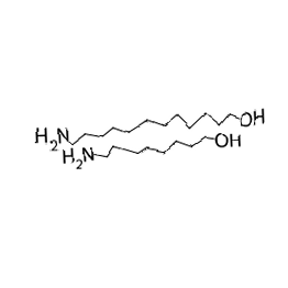 NCCCCCCCCCCCCO.NCCCCCCCCO